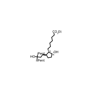 CCCCCC(O)(CC=C1CC[C@@H](O)[C@@H]1CCCCCCC(=O)OCC)C(C)CCC